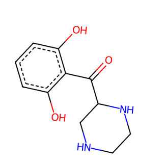 O=C(c1c(O)cccc1O)C1CNCCN1